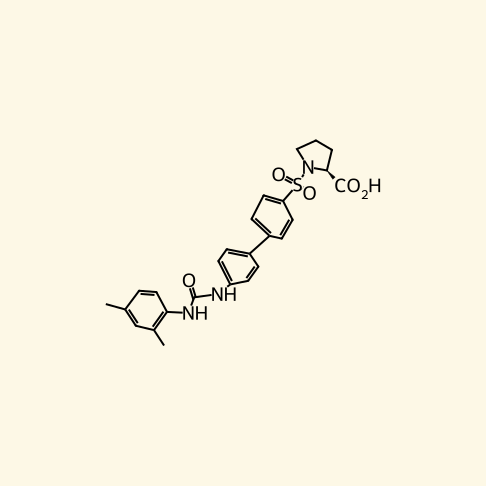 Cc1ccc(NC(=O)Nc2ccc(-c3ccc(S(=O)(=O)N4CCC[C@H]4C(=O)O)cc3)cc2)c(C)c1